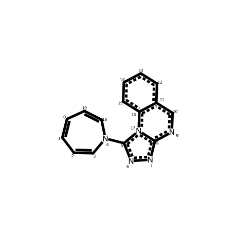 C1=CC=CN(c2nnc3ncc4ccccc4n23)C=C1